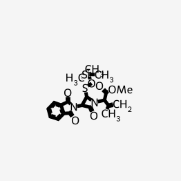 C=C(C)C(C(=O)OC)N1C(=O)C(N2C(=O)c3ccccc3C2=O)C1SO[Si](C)(C)C